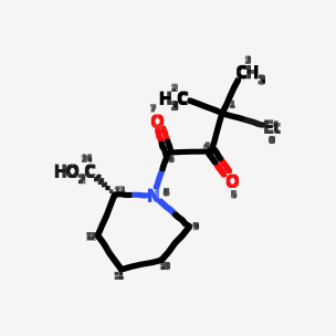 CCC(C)(C)C(=O)C(=O)N1CCCC[C@@H]1C(=O)O